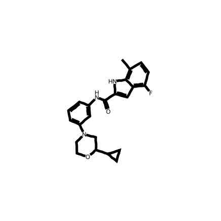 Cc1ccc(F)c2cc(C(=O)Nc3cccc(N4CCOC(C5CC5)C4)c3)[nH]c12